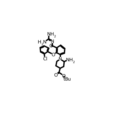 CC(C)(C)OC(=O)C1CCN(c2cccc(C(=O)N=C(N)N)c2Oc2ccccc2Cl)C(N)C1